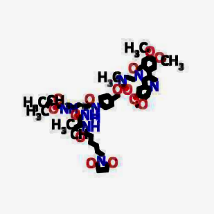 COc1cc2c(=O)n(CCN(C)C(=O)OCc3ccc(NC(=O)[C@H](CCCNC(=O)OC(C)(C)C)NC(=O)[C@@H](NC(=O)CCCCCN4C(=O)C=CC4=O)C(C)C)cc3)c3c4cc5c(cc4ncc3c2cc1OC)OCO5